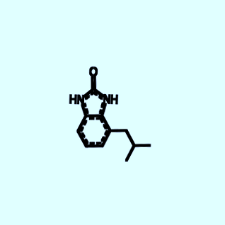 CC(C)Cc1cccc2[nH]c(=O)[nH]c12